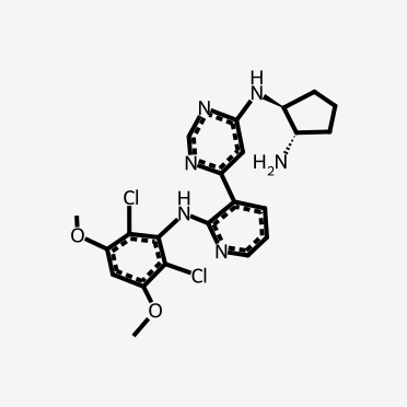 COc1cc(OC)c(Cl)c(Nc2ncccc2-c2cc(N[C@H]3CCC[C@@H]3N)ncn2)c1Cl